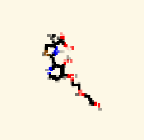 C[C@]1(C(=O)O)CSC(c2nccc(OCCOCC=O)c2O)=N1